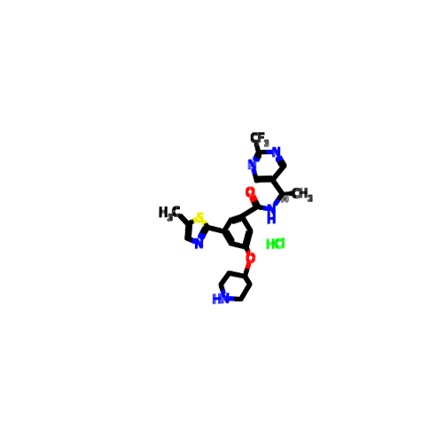 Cc1cnc(-c2cc(OC3CCNCC3)cc(C(=O)N[C@H](C)c3cnc(C(F)(F)F)nc3)c2)s1.Cl